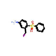 Nc1ccc(S(=O)(=O)c2ccccc2)c(CI)c1